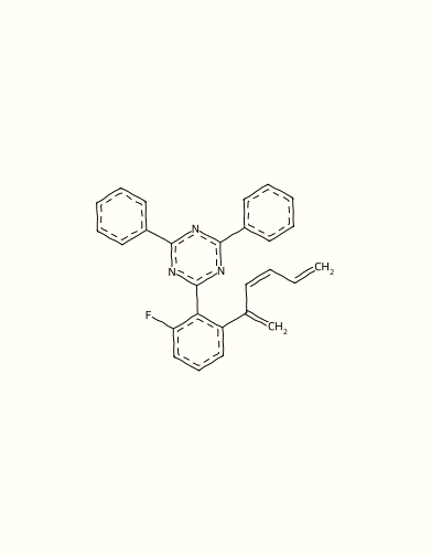 C=C/C=C\C(=C)c1cccc(F)c1-c1nc(-c2ccccc2)nc(-c2ccccc2)n1